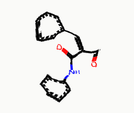 O=[C]C(=Cc1ccccc1)C(=O)Nc1ccccc1